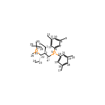 CC[C@@H]([C@@H](C)P(c1cc(C)cc(C)c1)c1cc(C)cc(C)c1)[C@H](CC)P(C)C(C)(C)C